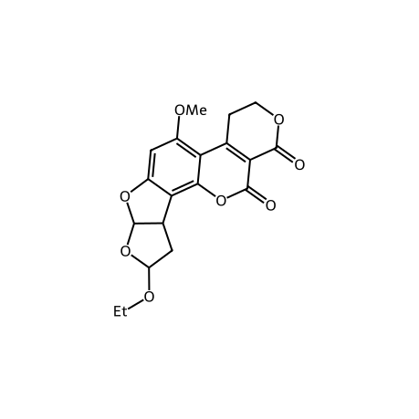 CCOC1CC2c3c(cc(OC)c4c5c(c(=O)oc34)C(=O)OCC5)OC2O1